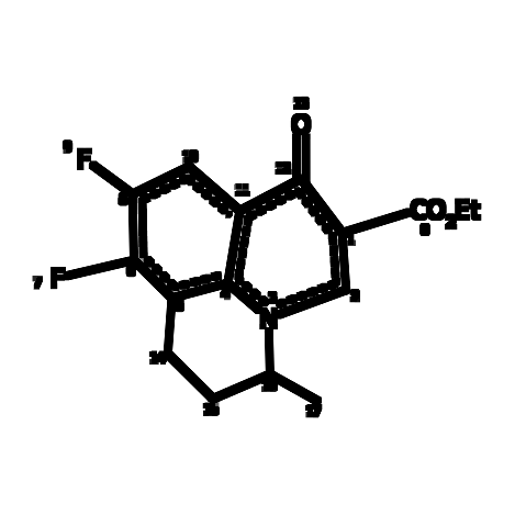 CCOC(=O)c1cn2c3c(c(F)c(F)cc3c1=O)CCC2C